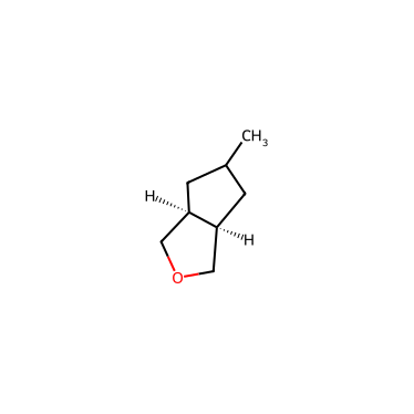 CC1C[C@H]2COC[C@H]2C1